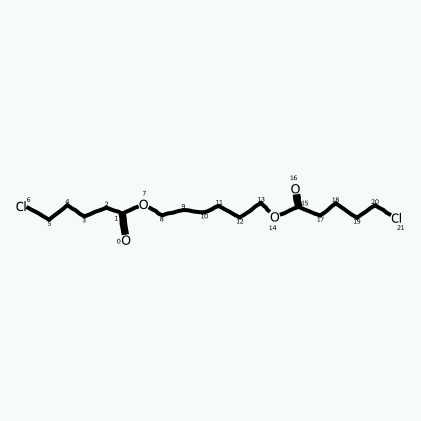 O=C(CCCCCl)OCCCCCCOC(=O)CCCCCl